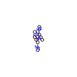 c1ccc(N(c2ccc(-c3cn4ccccc4n3)cc2)c2ccccc2-c2nc3ccccc3nc2-c2ccccc2N(c2ccccc2)c2ccc(-c3cn4ccccc4n3)cc2)cc1